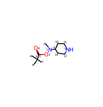 CN(OC(=O)C(C)(C)C)C1CCNCC1